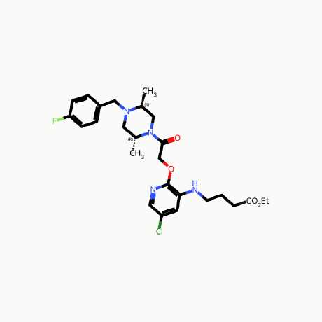 CCOC(=O)CCCNc1cc(Cl)cnc1OCC(=O)N1C[C@H](C)N(Cc2ccc(F)cc2)C[C@H]1C